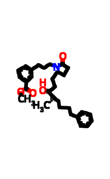 COC(=O)c1cccc(CCCN2C(=O)CCC2CC[C@@H](O)[C@@H](C)CCCCc2ccccc2)c1